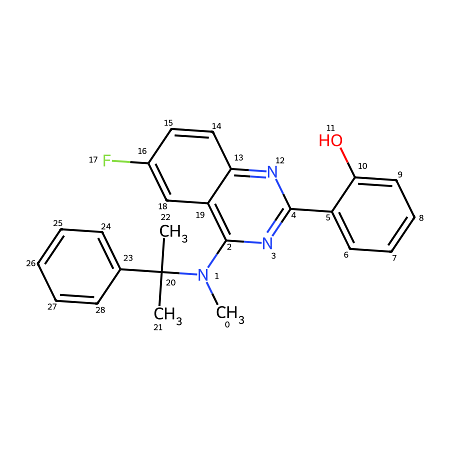 CN(c1nc(-c2ccccc2O)nc2ccc(F)cc12)C(C)(C)c1ccccc1